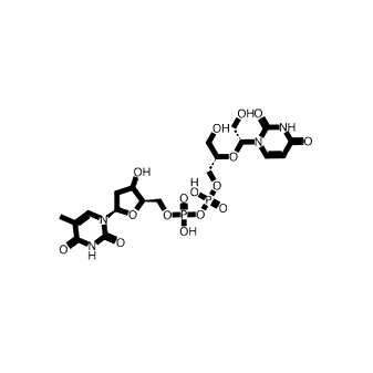 Cc1cn([C@H]2CC(O)[C@@H](COP(=O)(O)OP(=O)(O)OC[C@H](CO)O[C@H](CO)n3ccc(=O)[nH]c3=O)O2)c(=O)[nH]c1=O